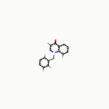 O=C(O)c1cn(Cc2c(F)ccc(F)c2F)c2c(F)cccc2c1=O